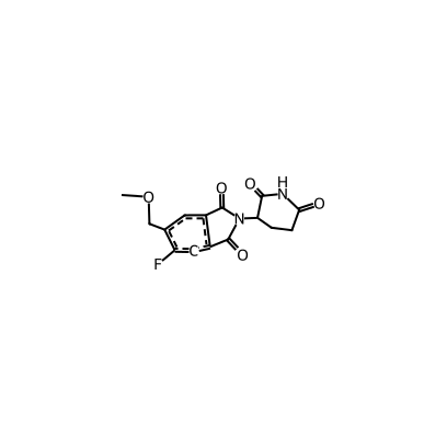 COCc1cc2c(cc1F)C(=O)N(C1CCC(=O)NC1=O)C2=O